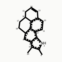 Cc1[nH]c2c(cc3c4c5c(ccc42)C=CCC5CC3)c1C